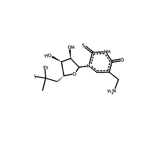 CCC(C)(I)C[C@H]1OC(n2cc(CN)c(=O)[nH]c2=S)[C@H](O)[C@@H]1O